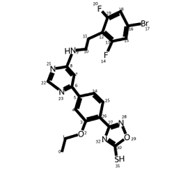 CCOc1cc(-c2cc(NCCc3c(F)cc(Br)cc3F)ncn2)ccc1-c1noc(S)n1